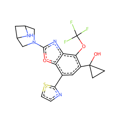 OC1(c2cc(-c3nccs3)c3oc(N4CC5CC(C4)N5)nc3c2OC(F)(F)F)CC1